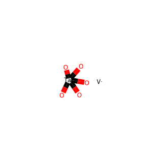 [O]=[Ta](=[O])(=[O])(=[O])=[O].[V]